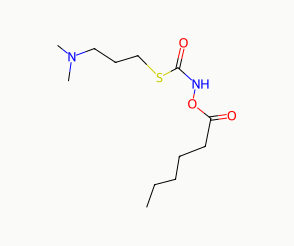 CCCCCC(=O)ONC(=O)SCCCN(C)C